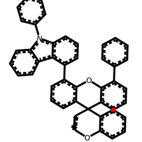 c1ccc(-c2cccc3c2Oc2c(-c4cccc5c4c4ccccc4n5-c4ccccc4)cccc2C32c3ccccc3Oc3ccccc32)cc1